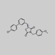 COc1ccc(CN2C(=O)S/C(=C\c3cccc(-c4ccc(Cl)cc4)c3)C2=O)cc1